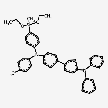 CCO[Si](C)(OCC)c1ccc(N(c2ccc(C)cc2)c2ccc(-c3ccc(N(c4ccccc4)c4ccccc4)cc3)cc2)cc1